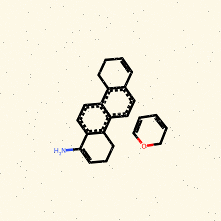 C1=CCOC=C1.NC1=CCCc2c1ccc1c3c(ccc21)C=CCC3